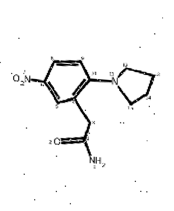 NC(=O)Cc1cc([N+](=O)[O-])ccc1N1CCCC1